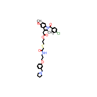 COc1ccc2c(c1)c(CC(=O)OCCCSCC(=O)NCCCOc1cccc(CN3CCCC3)c1)c(C)n2C(=O)c1ccc(Cl)cc1